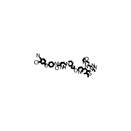 Cc1sc2c(c1C)C(c1ccc(O[C@H]3C[C@]4(CCCN(c5ccc(C(=O)N[C@H]6CC[C@H](Oc7ccc(C#N)c(Cl)c7)CC6)nn5)C4)C3)nc1)=N[C@@H](Cc1ncco1)c1nnc(C)n1-2